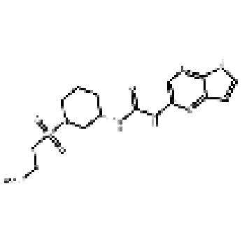 COCCS(=O)(=O)N1CCC[C@H](NC(=O)Nc2cnc3[nH]ccc3n2)C1